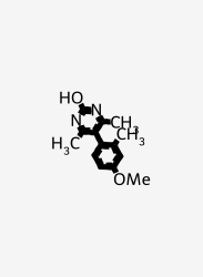 COc1ccc(-c2c(C)nc(O)nc2C)c(C)c1